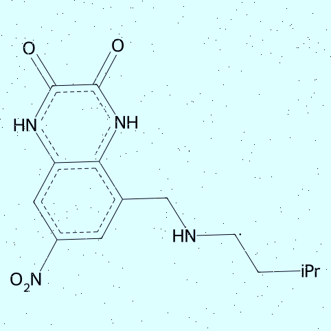 CC(C)C[CH]NCc1cc([N+](=O)[O-])cc2[nH]c(=O)c(=O)[nH]c12